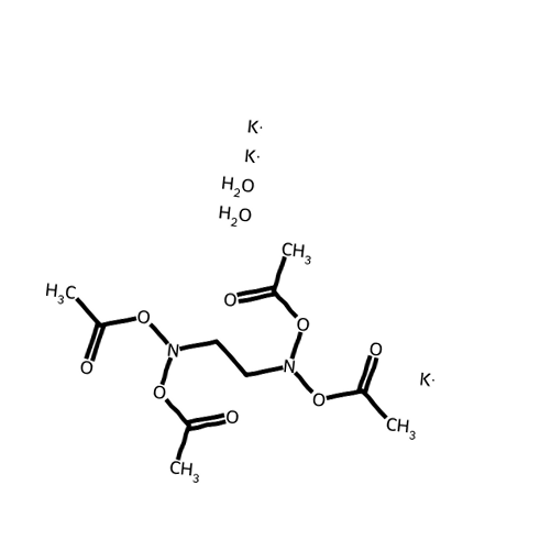 CC(=O)ON(CCN(OC(C)=O)OC(C)=O)OC(C)=O.O.O.[K].[K].[K]